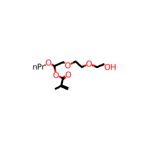 C=C(C)C(=O)OC(COCCOCCO)OCCC